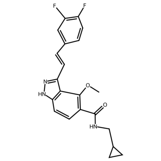 COc1c(C(=O)NCC2CC2)ccc2[nH]nc(/C=C/c3ccc(F)c(F)c3)c12